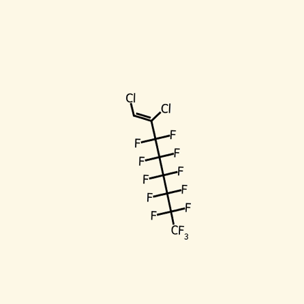 FC(F)(F)C(F)(F)C(F)(F)C(F)(F)C(F)(F)C(F)(F)C(Cl)=CCl